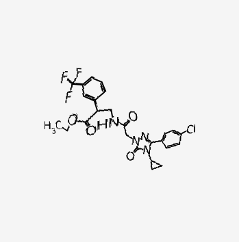 CCOC(=O)C(CNC(=O)Cn1nc(-c2ccc(Cl)cc2)n(C2CC2)c1=O)c1cccc(C(F)(F)F)c1